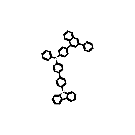 c1ccc(-c2cc(-c3ccc(N(c4ccccc4)c4ccc(-c5ccc(-n6c7ccccc7c7ccccc76)cc5)cc4)cc3)c3ccccc3c2)cc1